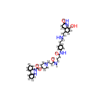 CN(CCCC(=O)Nc1ccc(CCNCCc2ccc(O)c3[nH]c(=O)ccc23)cc1)C(=O)CCN1CCC(OC(=O)Nc2ccccc2-c2ccccc2)CC1